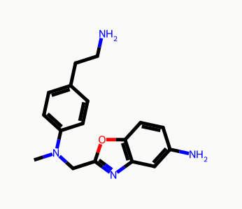 CN(Cc1nc2cc(N)ccc2o1)c1ccc(CCN)cc1